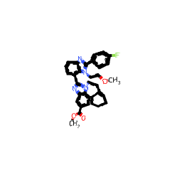 COCCn1c(-c2ccc(F)cc2)nc2cccc(-c3nc4cc(C(=O)OC)ccc4n3CCC3=CCCCC3)c21